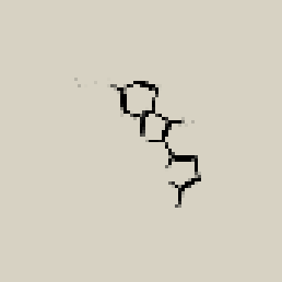 COc1ccc2c(Br)c(-c3ccc(C)s3)oc2c1